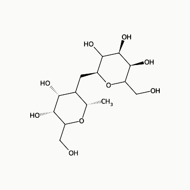 C[C@@H]1OC(CO)[C@H](O)[C@H](O)C1C[C@@H]1OC(CO)[C@H](O)[C@H](O)C1O